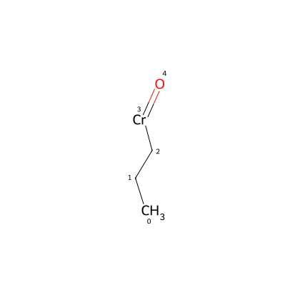 CC[CH2][Cr]=[O]